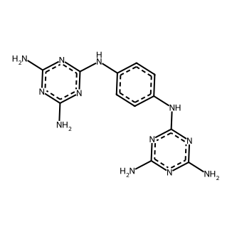 Nc1nc(N)nc(Nc2ccc(Nc3nc(N)nc(N)n3)cc2)n1